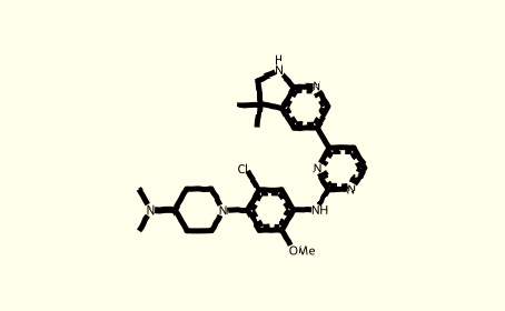 COc1cc(N2CCC(N(C)C)CC2)c(Cl)cc1Nc1nccc(-c2cnc3c(c2)C(C)(C)CN3)n1